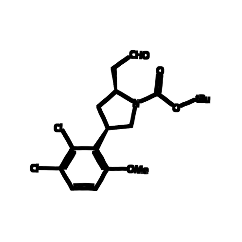 COc1ccc(Cl)c(Cl)c1[C@H]1C[C@@H](CC=O)N(C(=O)OC(C)(C)C)C1